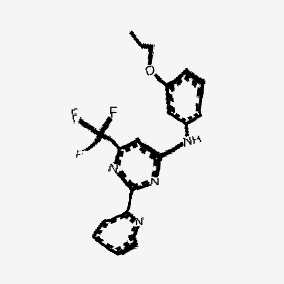 CCOc1cccc(Nc2cc(C(F)(F)F)nc(-c3ccccn3)n2)c1